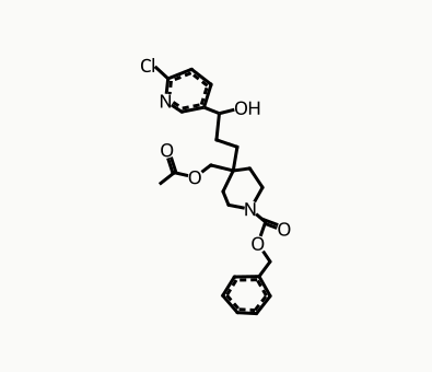 CC(=O)OCC1(CCC(O)c2ccc(Cl)nc2)CCN(C(=O)OCc2ccccc2)CC1